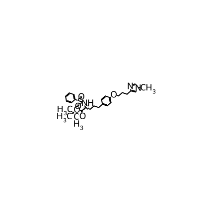 Cn1cnc(CCCOc2ccc(CCC[C@H](NS(=O)(=O)c3ccccc3)C(=O)OC(C)(C)C)cc2)c1